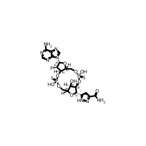 NC(=O)c1cc([C@@H]2O[C@@H]3COP(O)(=S)O[C@H]4[C@@H](F)[C@H](n5cnc6c(N)ncnc65)O[C@@H]4COP(O)(=S)O[C@@H]2[C@@H]3O)[nH]n1